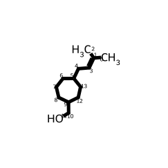 CC(C)=CCC1CCCC(CO)CC1